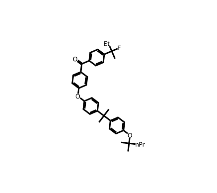 CCCC(C)(C)Oc1ccc(C(C)(C)c2ccc(Oc3ccc(C(=O)c4ccc(C(C)(F)CC)cc4)cc3)cc2)cc1